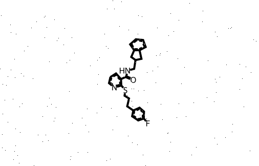 O=C(NCC1Cc2ccccc2C1)c1cccnc1SCCCc1ccc(F)cc1